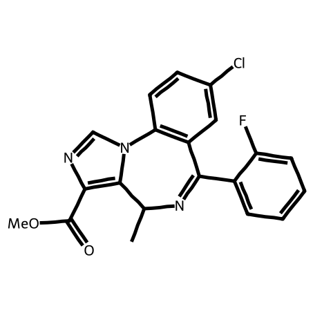 COC(=O)c1ncn2c1C(C)N=C(c1ccccc1F)c1cc(Cl)ccc1-2